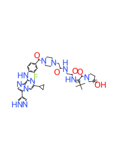 CC(C)(C)[C@H](NC(=O)CNC(=O)CN1CCN(C(=O)c2ccc(Nc3nc(C4CC4)cn4c(-c5cn[nH]c5)cnc34)c(F)c2)CC1)C(=O)N1CC[C@@H](O)C1